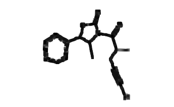 CCC#CCC(C)C(=O)N1C(=O)OC(c2ccccc2)C1C